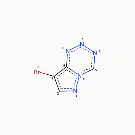 Brc1cnn2cnnnc12